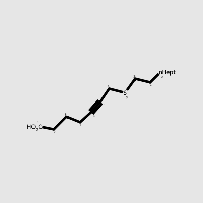 CCCCCCCCCSCC#CCCCC(=O)O